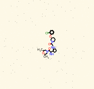 C[C@@H]1CN(C(=O)C(=N)C2=C(NCC(=O)N3CCCC(Oc4ccccc4Cl)C3)CCC2)C[C@H](C)O1